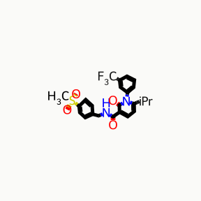 CC(C)c1ccc(C(=O)NCc2ccc(S(C)(=O)=O)cc2)c(=O)n1-c1cccc(C(F)(F)F)c1